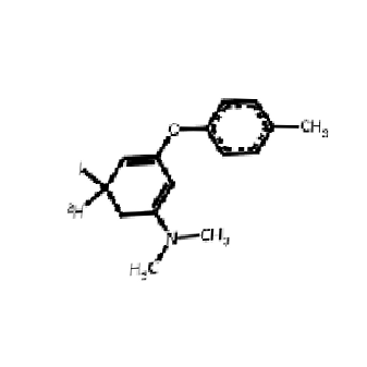 [2H]C1(I)C=C(Oc2ccc(C)cc2)C=C(N(C)C)C1